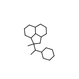 CC(C1CCCCC1)C1(C)CC2CCCC3CCCC1C32